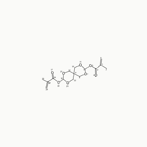 C=C(C)C(=O)OC1OCC2(CO1)COC(OC(=O)C(=C)C)OC2